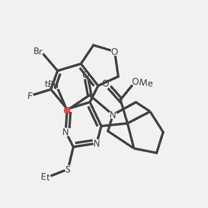 CCSc1nc(C2(C(=O)OC)C3CCC2CN(C(=O)OC(C)(C)C)C3)c2c3c(c(Br)c(F)c2n1)COC3